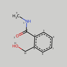 CNC(=O)c1ccccc1CO